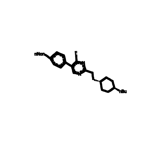 CCCCCCCCCc1ccc(-c2cnc(CC[C@H]3CC[C@H](CCCC)CC3)nc2F)cc1